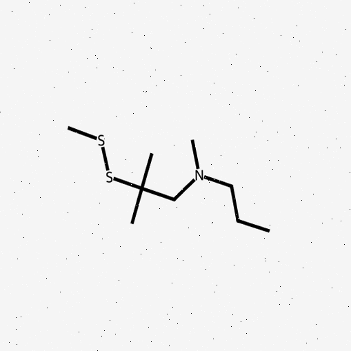 CCCN(C)CC(C)(C)SSC